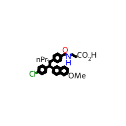 CCC[C@H](c1ccc(C(=O)NCCC(=O)O)cc1)C(c1ccc(Cl)cc1)c1ccc2cc(OC)ccc2c1